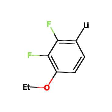 [Li][c]1ccc(OCC)c(F)c1F